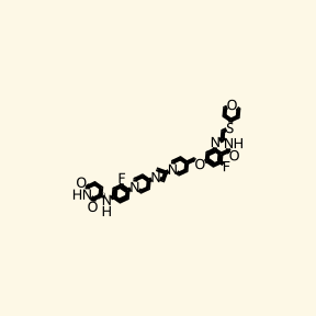 O=C1CC[C@@H](Nc2ccc(N3CCC(N4CC(N5CCC(COc6cc(F)c7c(=O)[nH]c(CSC8CCOCC8)nc7c6)CC5)C4)CC3)c(F)c2)C(=O)N1